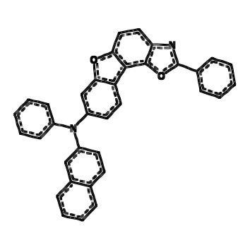 c1ccc(-c2nc3ccc4oc5cc(N(c6ccccc6)c6ccc7ccccc7c6)ccc5c4c3o2)cc1